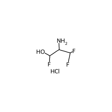 Cl.NC(C(O)F)C(F)F